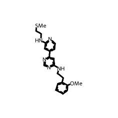 COc1ccccc1CCNc1cc(-c2ccnc(NCCSC)c2)ncn1